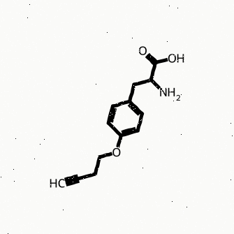 C#CCCOc1ccc(CC(N)C(=O)O)cc1